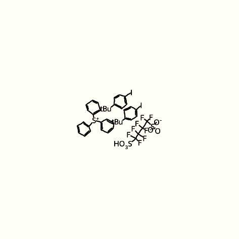 CC(C)(C)c1ccc(I)cc1.CC(C)(C)c1ccc(I)cc1.O=S(=O)([O-])C(F)(F)C(F)(F)C(F)(F)C(F)(F)S(=O)(=O)O.c1ccc([S+](c2ccccc2)c2ccccc2)cc1